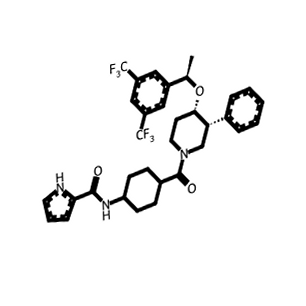 C[C@@H](O[C@H]1CCN(C(=O)C2CCC(NC(=O)c3ccc[nH]3)CC2)C[C@H]1c1ccccc1)c1cc(C(F)(F)F)cc(C(F)(F)F)c1